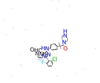 CN/C=C\n1c(-c2c(F)cccc2Cl)nc(Nc2ccc(C(C)(C)C(=O)N3CCNCC3)cc2)c1C=O